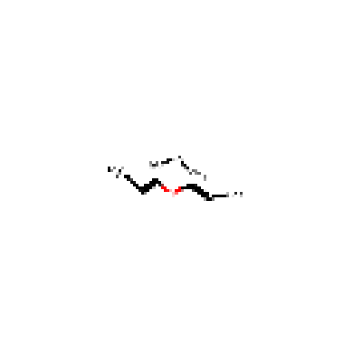 CC=COC=CC.CCC[CH2][Sn][CH3]